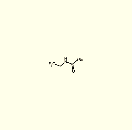 CC(C)(C)C(=O)N[CH]C(F)(F)F